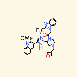 COc1nc2ccccc2cc1-c1cnc(C2CN(CC3COC3)CCN2C(=O)Cn2c(C(F)(F)F)nc3ccccc32)[nH]1